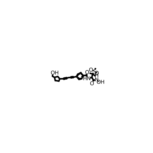 CC(C)(C(NC(=O)c1ccc(C#CC#CC2CCC(CO)C2)cc1)C(=O)NO)S(C)(=O)=O